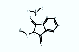 CCNCC.CCON1C(=O)c2ccccc2C1=O